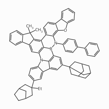 CCC1(c2ccc3c(c2)c2cc(C45CC6CC(CC(C6)C4)C5)cc4c2n3-c2cc3c(c5c2B4N(c2ccc(-c4ccccc4)cc2)c2c-5ccc4c2oc2ccccc24)C(C)(C)c2ccccc2-3)CC2CCC(C2)C1